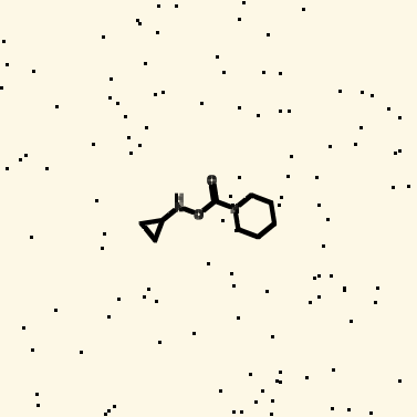 O=C(ONC1CC1)N1CCCCC1